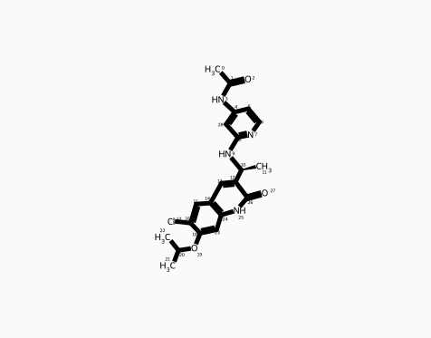 CC(=O)Nc1ccnc(N[C@@H](C)c2cc3cc(Cl)c(OC(C)C)cc3[nH]c2=O)c1